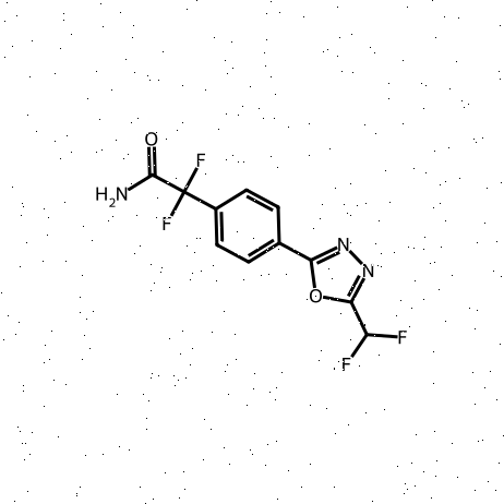 NC(=O)C(F)(F)c1ccc(-c2nnc(C(F)F)o2)cc1